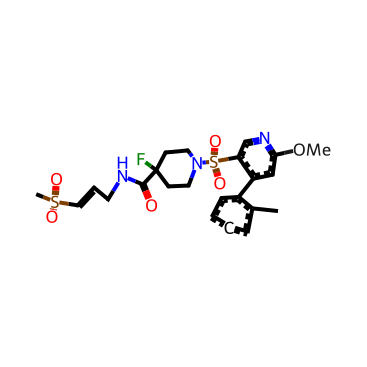 COc1cc(-c2ccccc2C)c(S(=O)(=O)N2CCC(F)(C(=O)NC/C=C/S(C)(=O)=O)CC2)cn1